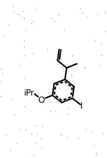 C=C[C](C)c1cc(I)cc(OC(C)C)c1